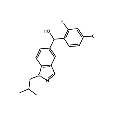 CC(C)Cn1ncc2cc(C(O)c3ccc(Cl)cc3F)ccc21